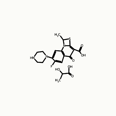 CC(O)C(=O)O.CC1Sc2c(C(=O)O)c(=O)c3cc(F)c(N4CCNCC4)cc3n21